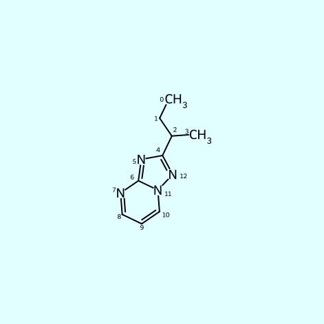 CCC(C)c1nc2ncccn2n1